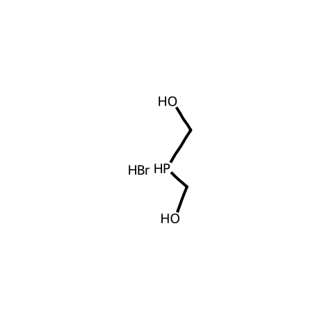 Br.OCPCO